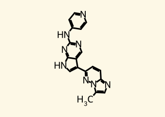 Cc1cnc2ccc(-c3c[nH]c4nc(Nc5ccncc5)ncc34)nn12